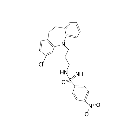 N=S(=O)(NCCCN1c2ccccc2CCc2ccc(Cl)cc21)c1ccc([N+](=O)[O-])cc1